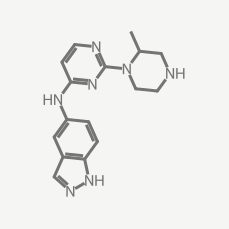 CC1CNCCN1c1nccc(Nc2ccc3[nH]ncc3c2)n1